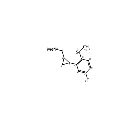 CNCC1CC1c1cc(F)ccc1[Se]C